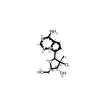 C[C@]1(Cl)C(c2ccc3c(N)ncnn23)O[C@H](CO)[C@H]1O